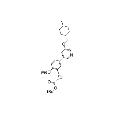 COc1ccc(-c2cnnc(OC[C@H]3CC[C@H](C)CC3)c2)cc1[C@H]1C[C@@H]1C(=O)OC(C)(C)C